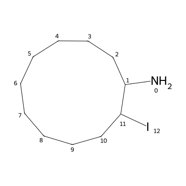 NC1CCCCCCCCCC1I